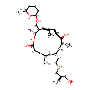 C=C(CO)COCC[C@@H]1C[C@@H](C)CCC(=O)O[C@H](I)C(COC2CCCC(C)O2)/C=C(C)/C=C/C(=O)[C@H](C)C1